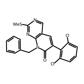 CSc1ncc2cc(-c3c(Cl)cccc3Cl)c(=O)n(Cc3ccccc3)c2n1